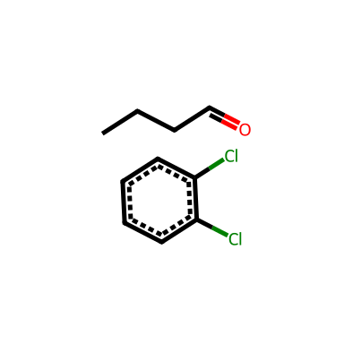 CCCC=O.Clc1ccccc1Cl